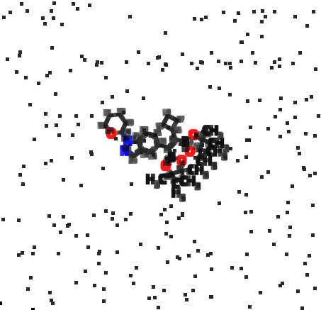 CC1(C)OB(C(=C(B2OC(C)(C)C(C)(C)O2)C2CCC2)c2ccc3c(cnn3C3CCCCO3)c2)OC1(C)C